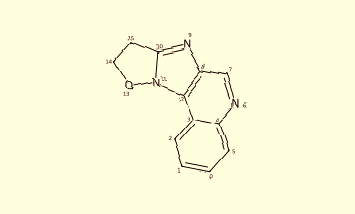 c1ccc2c(c1)ncc1nc3n(c12)OCC3